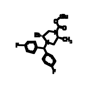 CC[C@@H]1CN(C(=O)OC(C)(C)C)[C@@H](C)CN1C(c1ccc(F)cc1)c1ccc(F)cc1